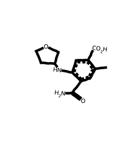 Cc1cc(C(N)=O)c(NC2CCOC2)cc1C(=O)O